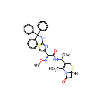 CCCON=C(C(=O)NC(OC(C)=O)C1=C(C(=O)O)N2C(=O)C[C@H]2SC1)c1csc(NC(c2ccccc2)(c2ccccc2)c2ccccc2)n1